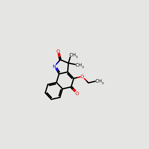 CCOC1=C2C(=NC(=O)C2(C)C)c2ccccc2C1=O